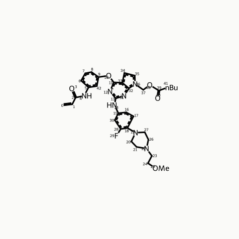 C=CC(=O)Nc1cccc(Oc2nc(Nc3ccc(N4CCN(CCOC)CC4)c(F)c3)nc3c2ccn3COC(=O)CCCC)c1